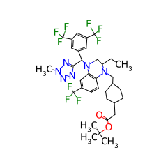 CCC1CN(C(c2cc(C(F)(F)F)cc(C(F)(F)F)c2)c2nnn(C)n2)c2cc(C(F)(F)F)ccc2N1CC1CCC(CC(=O)OC(C)(C)C)CC1